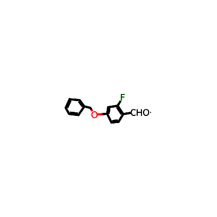 O=[C]c1ccc(OCc2ccccc2)cc1F